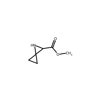 COC(=O)C1NC12CC2